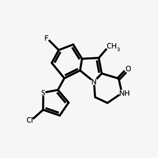 Cc1c2n(c3c(-c4ccc(Cl)s4)cc(F)cc13)CCNC2=O